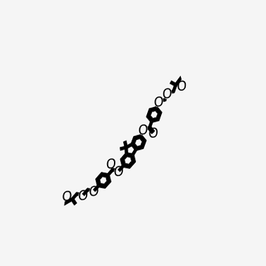 CC1(COCOc2ccc(C(=O)Oc3ccc4c(c3)C(C)(C)c3cc(OC(=O)c5ccc(OCOCC6(C)CO6)cc5)ccc3-4)cc2)CO1